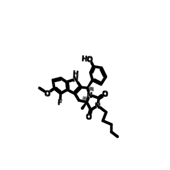 CCCCCN1C(=O)N2[C@H](c3cccc(O)c3)c3[nH]c4ccc(OC)c(F)c4c3C[C@@]2(C)C1=O